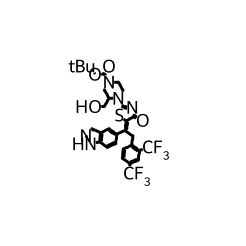 CC(C)(C)OC(=O)N1CCN(C2=NC(=O)C(=C(Cc3ccc(C(F)(F)F)cc3C(F)(F)F)c3ccc4[nH]ncc4c3)S2)C(CO)C1